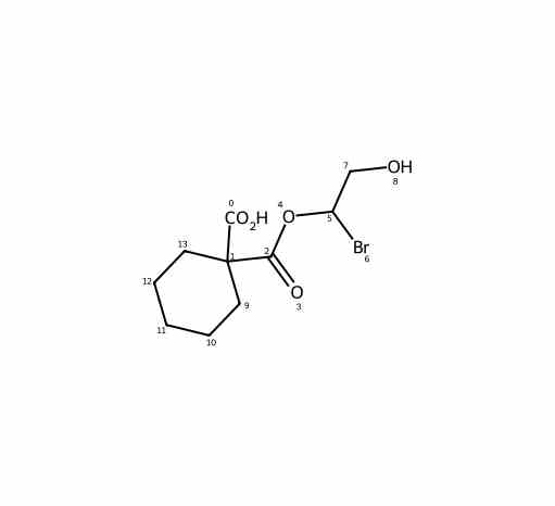 O=C(O)C1(C(=O)OC(Br)CO)CCCCC1